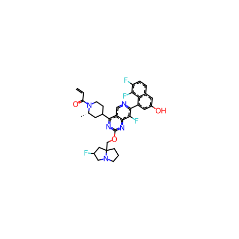 C=CC(=O)N1CCC(c2nc(OCC34CCCN3CC(F)C4)nc3c(F)c(-c4cc(O)cc5ccc(F)c(F)c45)ncc23)C[C@@H]1C